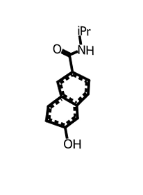 CC(C)NC(=O)c1ccc2cc(O)ccc2c1